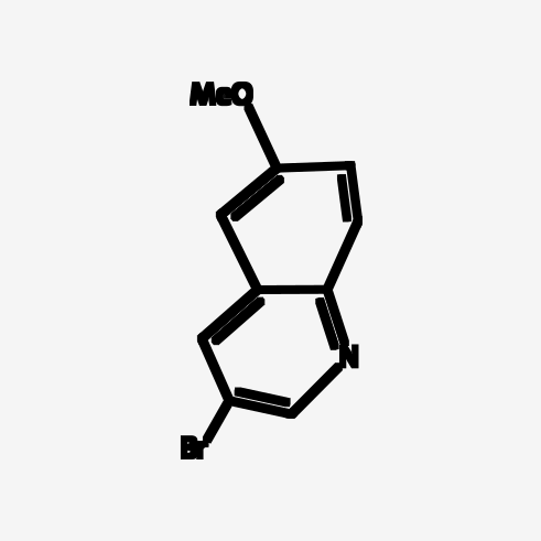 COc1ccc2ncc(Br)cc2c1